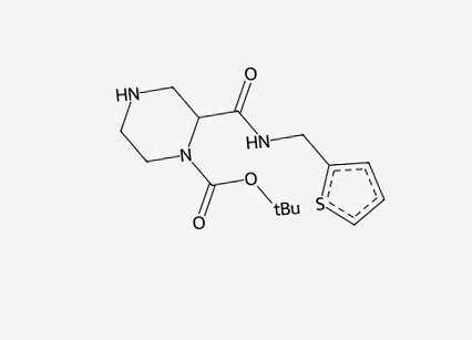 CC(C)(C)OC(=O)N1CCNCC1C(=O)NCc1cccs1